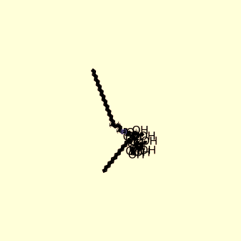 CCCCCCCCCCCCCCCCCCCCCC[C@H](C)C[C@H](C)C[C@H](C)/C=C(\C)C(=O)O[C@H]1[C@H](O)[C@@H](CO)O[C@H](O[C@H]2O[C@H](CO)[C@@H](O)[C@H](O)[C@H]2OS(=O)(=O)O)[C@@H]1OC(=O)CCCCCCCCCCCCCCC